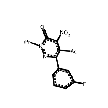 CC(=O)c1c(-c2cccc(F)c2)nn(C(C)C)c(=O)c1[N+](=O)[O-]